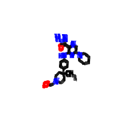 CC1(c2ccc(Nc3nc(N4CCCCC4)cnc3C(N)=O)cc2)CCN(C=O)CC1